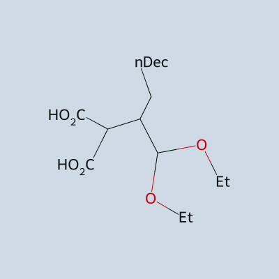 CCCCCCCCCCCC(C(OCC)OCC)C(C(=O)O)C(=O)O